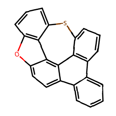 c1cc2oc3ccc4c5ccccc5c5cccc6sc(c1)c2c3c4c65